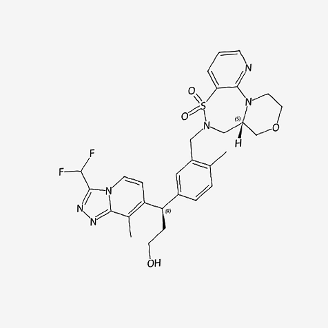 Cc1ccc([C@@H](CCO)c2ccn3c(C(F)F)nnc3c2C)cc1CN1C[C@H]2COCCN2c2ncccc2S1(=O)=O